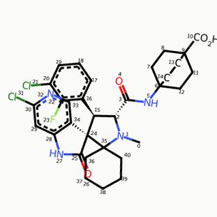 CN1[C@@H](C(=O)NC23CCC(C(=O)O)(CC2)CC3)[C@H](c2cccc(Cl)c2F)[C@]2(C(=O)Nc3cc(Cl)ncc32)C12CCCCC2